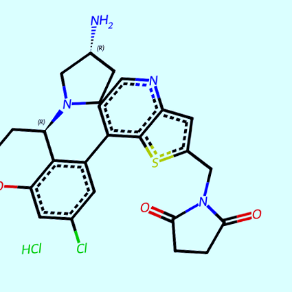 Cl.N[C@@H]1CCN([C@@H]2CCOc3cc(Cl)cc(-c4ccnc5cc(CN6C(=O)CCC6=O)sc45)c32)C1